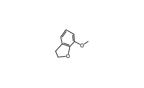 COc1cccc2c1OCC2